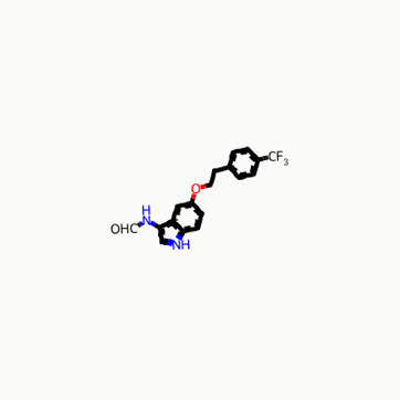 O=CNc1c[nH]c2ccc(OCCc3ccc(C(F)(F)F)cc3)cc12